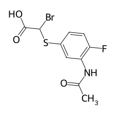 CC(=O)Nc1cc(SC(Br)C(=O)O)ccc1F